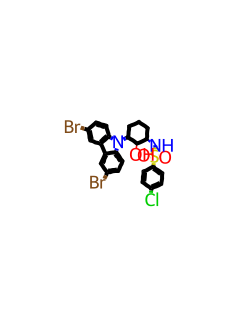 O=S(=O)(N[C@@H]1CCCC(n2c3ccc(Br)cc3c3cc(Br)ccc32)[C@H]1O)c1ccc(Cl)cc1